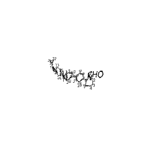 O=CN1CCCCC1c1ccc(-c2ccc(N3CCN(CC4CC4)CC3)nc2)cc1